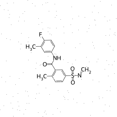 C=NS(=O)(=O)c1ccc(C)c(C(=O)Nc2ccc(F)c(C)c2)c1